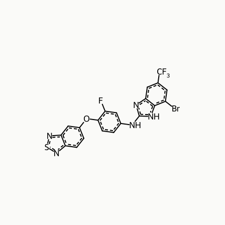 Fc1cc(Nc2nc3cc(C(F)(F)F)cc(Br)c3[nH]2)ccc1Oc1ccc2nsnc2c1